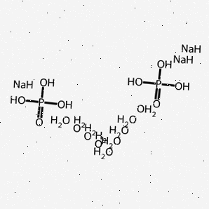 O.O.O.O.O.O.O.O.O.O=P(O)(O)O.O=P(O)(O)O.[NaH].[NaH].[NaH]